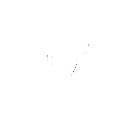 [Co].[Fe][Co].[La].[La].[SrH2].[SrH2]